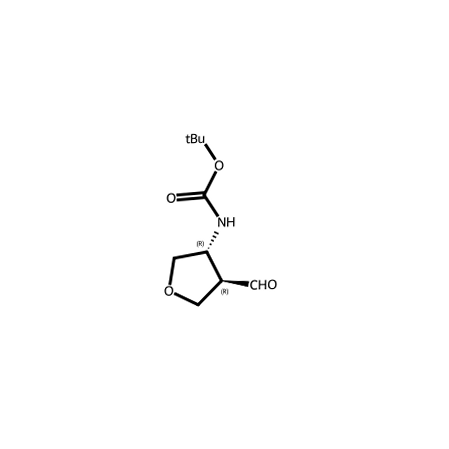 CC(C)(C)OC(=O)N[C@H]1COC[C@@H]1C=O